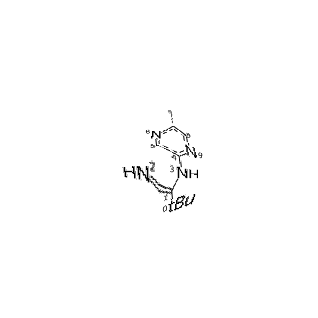 CC(C)(C)C(=N)Nc1cnccn1